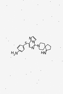 N=C1CCCC12CCN(c1ncc(Sc3ccc(N)cc3)c3nccn13)CC2